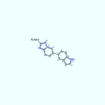 CC(=O)Nc1nc2ccc(-c3ccc4[nH]ccc4c3)cn2n1